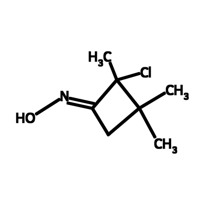 CC1(C)C/C(=N\O)C1(C)Cl